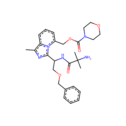 Cc1nc(C(COCc2ccccc2)NC(=O)C(C)(C)N)n2c(COC(=O)N3CCOCC3)cccc12